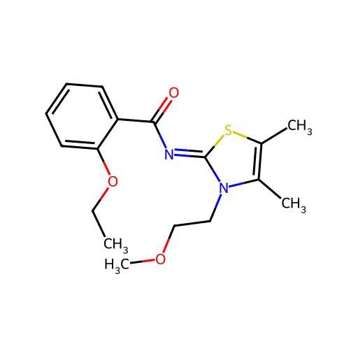 CCOc1ccccc1C(=O)/N=c1\sc(C)c(C)n1CCOC